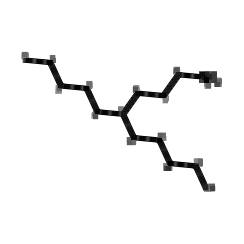 CCCCCC(CCCN)CCCCC